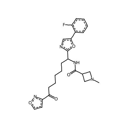 CN1CC(C(=O)NC(CCCCCC(=O)c2ccon2)c2ncc(-c3ccccc3F)o2)C1